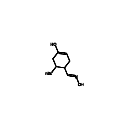 CCCCC1CC(O)=CCC1C=NO